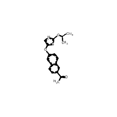 CC(=O)c1ccc2cc(Oc3cnc(OC(C)C)s3)ccc2c1